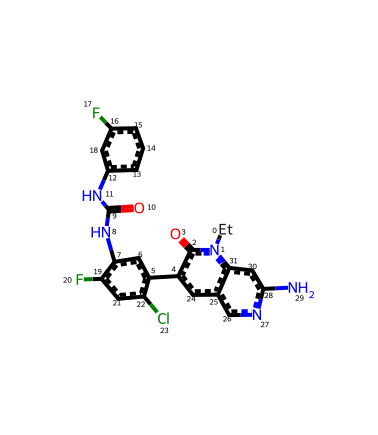 CCn1c(=O)c(-c2cc(NC(=O)Nc3cccc(F)c3)c(F)cc2Cl)cc2cnc(N)cc21